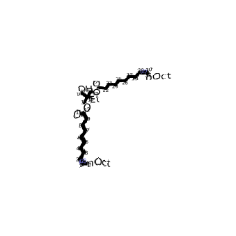 CCCCCCCC/C=C\CCCCCCCC(=O)OCC(CC)(CO)COC(=O)CCCCCCC/C=C\CCCCCCCC